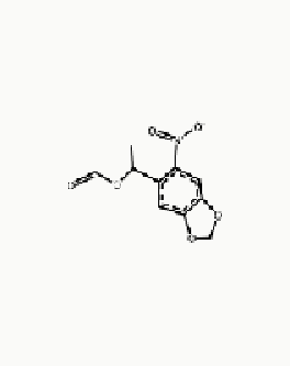 CC(OC=O)c1cc2c(cc1[N+](=O)[O-])OCO2